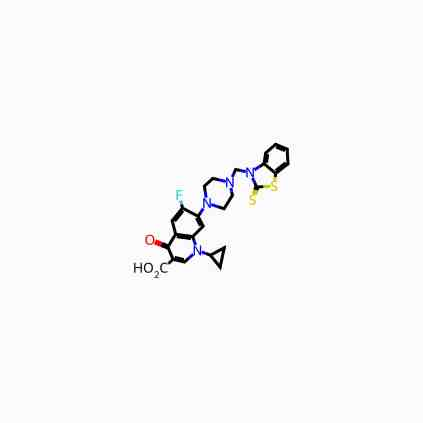 O=C(O)c1cn(C2CC2)c2cc(N3CCN(Cn4c(=S)sc5ccccc54)CC3)c(F)cc2c1=O